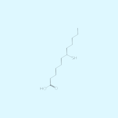 CCCCCC(S)CCCCCC(=O)O